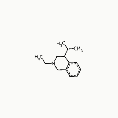 CCN1Cc2ccccc2C(C(C)C)C1